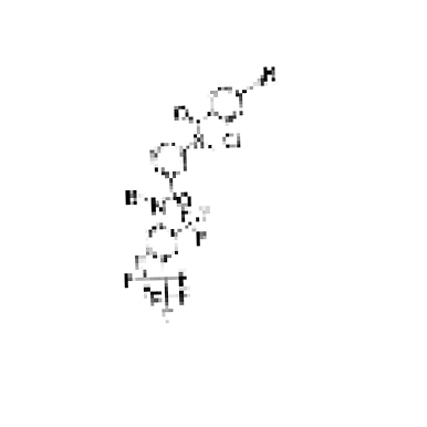 CN(C(=O)c1ccc(C#N)cc1Cl)c1cccc(C(=O)N(Br)c2ccc(C(F)(C(F)(F)F)C(F)(F)F)cc2C(F)(F)F)c1